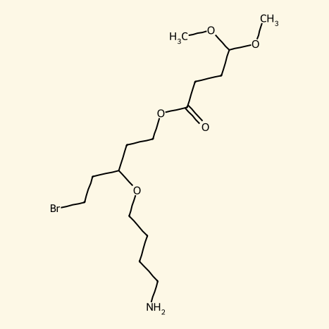 COC(CCC(=O)OCCC(CCBr)OCCCCN)OC